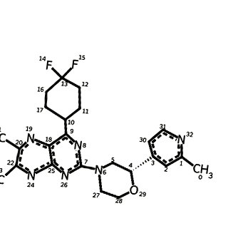 Cc1cc([C@H]2CN(c3nc(C4CCC(F)(F)CC4)c4nc(C)c(C)nc4n3)CCO2)ccn1